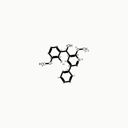 COc1cccc(C(O)c2cc(-c3ccccc3)cnc2OC)c1F